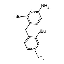 CCC(C)c1cc(N)ccc1Cc1ccc(N)cc1C(C)CC